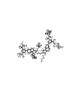 CCCCCN1/C(=C/C=C/C2=[N+](CCCS(=O)(=O)[O-])c3ccc4cc(-c5cc(C(=O)NCC)nc(C(=O)NCC)c5)ccc4c3C2(C)CS(=O)(=O)O)C(C)(C)c2c1ccc1cc(-c3cc(C(=O)NCCS(=O)(=O)O)nc(C(=O)NCCS(=O)(=O)O)c3)ccc21